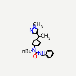 CCCCN(C(=O)NCc1ccccc1)C1C=CC([C@H](C)c2cnn(C)c2)CC1